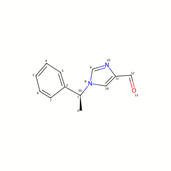 C[C@@H](c1ccccc1)n1cnc(C=O)c1